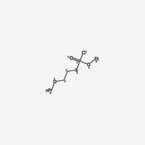 CCCOCCSP(=O)(Cl)OCC